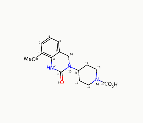 COc1cccc2c1NC(=O)N(C1CCN(C(=O)O)CC1)C2